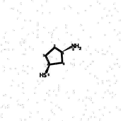 N[C@H]1CC[C@H](S)C1